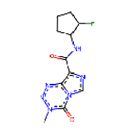 Cn1nnc2c(C(=O)NC3CCCC3F)ncn2c1=O